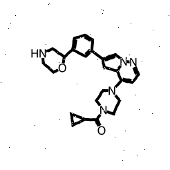 O=C(C1CC1)N1CCN(C2=CC=NN3C=C(c4cccc(C5CNCCO5)c4)CC23)CC1